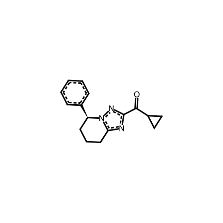 O=C(c1nc2n(n1)[C@H](c1ccccc1)CCC2)C1CC1